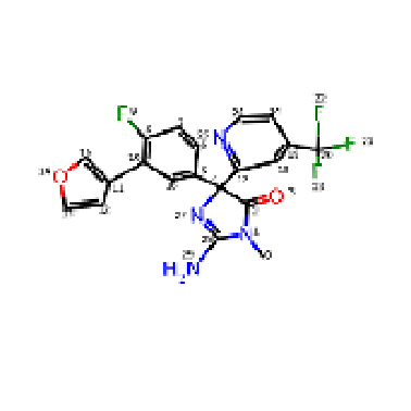 CN1C(=O)C(c2ccc(F)c(-c3ccoc3)c2)(c2cc(C(F)(F)F)ccn2)N=C1N